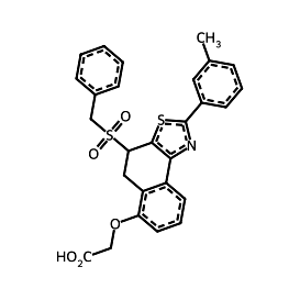 Cc1cccc(-c2nc3c(s2)C(S(=O)(=O)Cc2ccccc2)Cc2c(OCC(=O)O)cccc2-3)c1